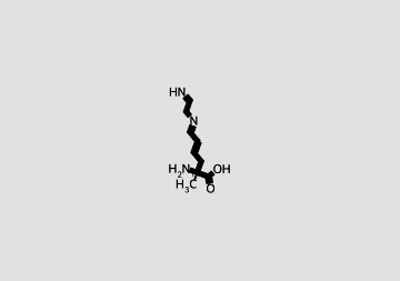 C[C@](N)(CC=CC=NCC=N)C(=O)O